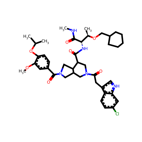 CNC(=O)[C@@H](NC(=O)C1CN(C(=O)Cc2c[nH]c3cc(Cl)ccc23)CC2CN(C(=O)c3ccc(OC(C)C)c(OC)c3)CC21)[C@@H](C)OCC1CCCCC1